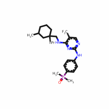 CCCC1(CNc2nc(Nc3ccc(P(C)(C)=O)cc3)ncc2C(F)(F)F)CCCC(C)C1